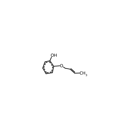 CC=CCOc1ccccc1O